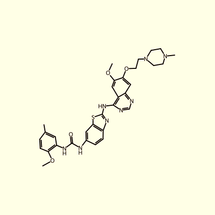 COc1ccc(C)cc1NC(=O)Nc1ccc2nc(Nc3ncnc4cc(OCCN5CCN(C)CC5)c(OC)cc34)sc2c1